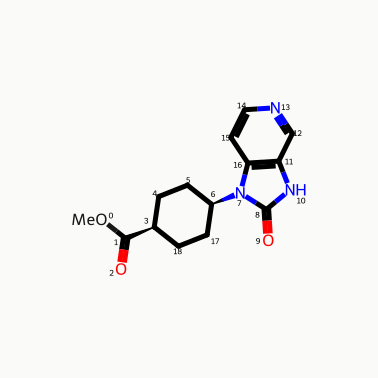 COC(=O)[C@H]1CC[C@@H](n2c(=O)[nH]c3cnccc32)CC1